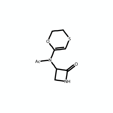 CC(=O)N(C1=CSCCO1)C1CNC1=O